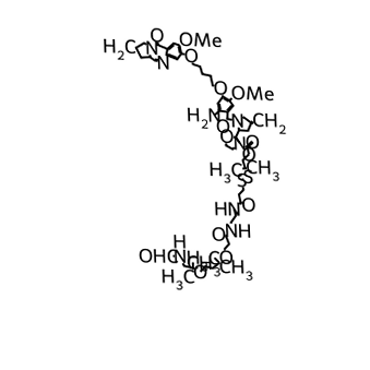 C=C1CC2C=Nc3cc(OCCCCCOc4cc(N)c(C(=O)N5CC(=C)CC5C5OCCN5C(=O)OCC(C)(C)SSCCC(=O)NCCNC(=O)CCOC(C)(C)CCOC(C)(C)CNC=O)cc4OC)c(OC)cc3C(=O)N2C1